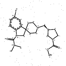 CCCOC(=O)N1CC[C@H](CN2CCC3(CC2)CN(C(=O)N(C)C)c2ccc(F)cc23)C1